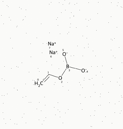 C=COB([O-])[O-].[Na+].[Na+]